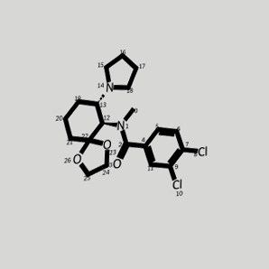 CN(C(=O)c1ccc(Cl)c(Cl)c1)[C@@H]1[C@@H](N2CCCC2)CCCC12OCCO2